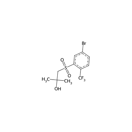 CC(C)(O)CS(=O)(=O)c1cc(Br)ccc1C(F)(F)F